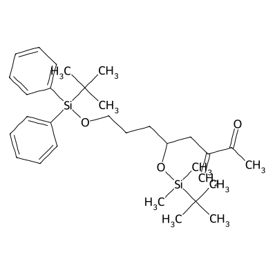 C=C(CC(CCCO[Si](c1ccccc1)(c1ccccc1)C(C)(C)C)O[Si](C)(C)C(C)(C)C)C(C)=O